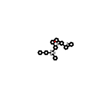 c1ccc(-c2ccc(-c3nc(-c4ccccc4)nc(-c4ccc(-n5c6ccccc6c6ccc(-c7cccc8c7sc7ccccc78)cc65)c(-c5ccccc5)c4)n3)cc2)cc1